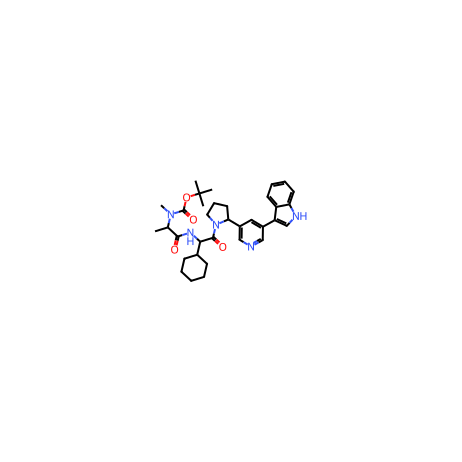 CC(C(=O)NC(C(=O)N1CCCC1c1cncc(-c2c[nH]c3ccccc23)c1)C1CCCCC1)N(C)C(=O)OC(C)(C)C